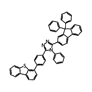 c1ccc(-n2c(-c3ccc(-c4cccc5c4sc4ccccc45)cc3)nnc2-c2ccc3c(c2)C(c2ccccc2)(c2ccccc2)c2ccccc2-3)cc1